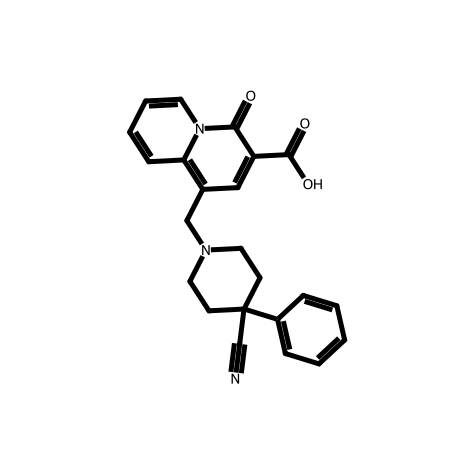 N#CC1(c2ccccc2)CCN(Cc2cc(C(=O)O)c(=O)n3ccccc23)CC1